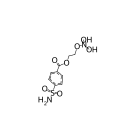 NS(=O)(=O)c1ccc(C(=O)OCCON(O)O)cc1